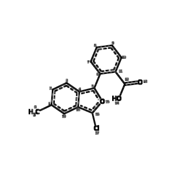 Cc1ccc2c(-c3ccccc3C(=O)O)oc(Cl)c2c1